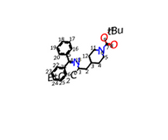 CCOC(=O)C(CC1CCN(C(=O)OC(C)(C)C)CC1)N=C(c1ccccc1)c1ccccc1